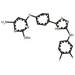 CSc1nc(N)cc(Oc2ccc(-c3nnc(Nc4ccc(I)c(I)c4)[nH]3)cc2)n1